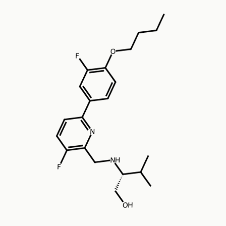 CCCCOc1ccc(-c2ccc(F)c(CN[C@@H](CO)C(C)C)n2)cc1F